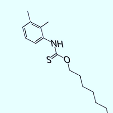 CCCCCCCOC(=S)Nc1cccc(C)c1C